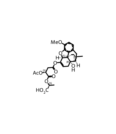 COc1ccc2c3c1O[C@@H]1C(OC(=O)C[C@H](OC(C)=O)C(=O)O[C@@H](C)C(=O)O)=CC[C@]4(O)[C@H](C2)N(C)CC[C@@]314